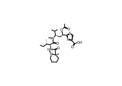 CC[C@H](C)[C@H](NC(=O)[C@]1(C)CCCCN1C)C(=O)N(C)[C@H](C[C@@H](OC(C)=O)c1nc(C(=O)O)cs1)C(C)C